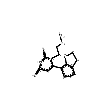 COCCn1c(-c2cccc3c2OCC3)cc(=O)[nH]c1=S